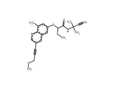 C#CC(C)(C)NC(=O)C(Oc1cc(C)c2ncc(C#CCOC)cc2c1)SC